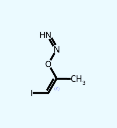 C/C(=C/I)ON=N